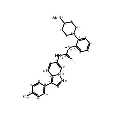 CNC1CCN(c2ccccc2NC(=O)Nc2cnc3c(-c4ccc(Cl)cc4)cnn3c2)CC1